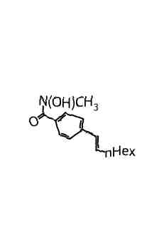 CCCCCC/C=C/c1ccc(C(=O)N(C)O)cc1